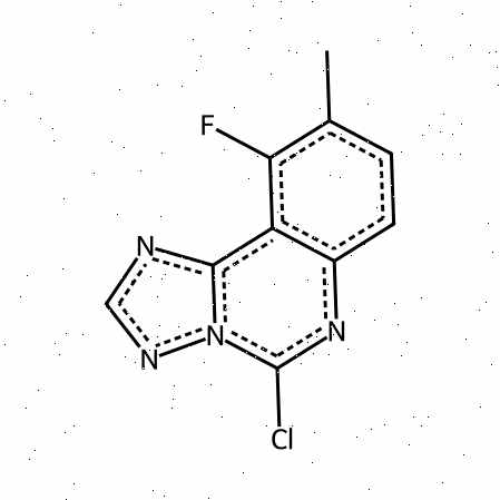 Cc1ccc2nc(Cl)n3ncnc3c2c1F